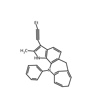 CCC#Cc1c(C)[nH]c2c3c(ccc12)CC1=CCC=CC(=C1)N3c1ccccc1